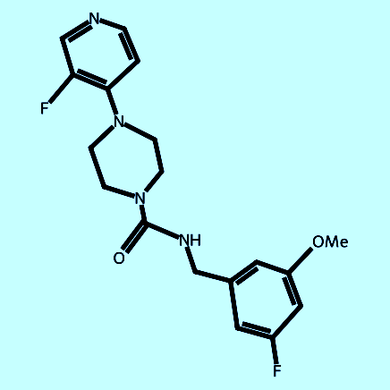 COc1cc(F)cc(CNC(=O)N2CCN(c3ccncc3F)CC2)c1